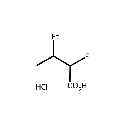 CCC(C)C(F)C(=O)O.Cl